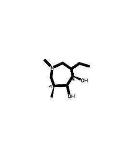 CCC1CN(C)C[C@H](C)C(O)[C@@H]1O